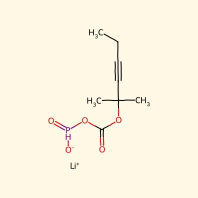 CCC#CC(C)(C)OC(=O)O[PH](=O)[O-].[Li+]